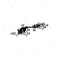 O=C[C@H](CCC(=O)O)NC(=O)N[C@@H](CCCCNC(=O)CCCCCCCCCCN1CCN(c2nc(Nc3ccc(CC4CN(CC(=O)O)CCN(CC(=O)O)CCN(CC(=O)O)CCN4CC(=O)O)cc3)nc(N3CCCCC3)n2)CC1)C(=O)O